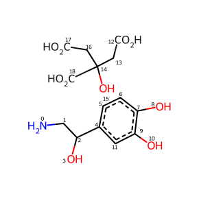 NCC(O)c1ccc(O)c(O)c1.O=C(O)CC(O)(CC(=O)O)C(=O)O